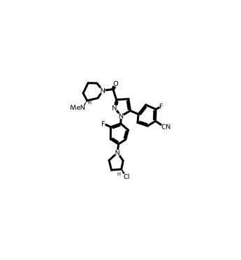 CN[C@@H]1CCCN(C(=O)c2cc(-c3ccc(C#N)c(F)c3)n(-c3ccc(N4CC[C@H](Cl)C4)cc3F)n2)C1